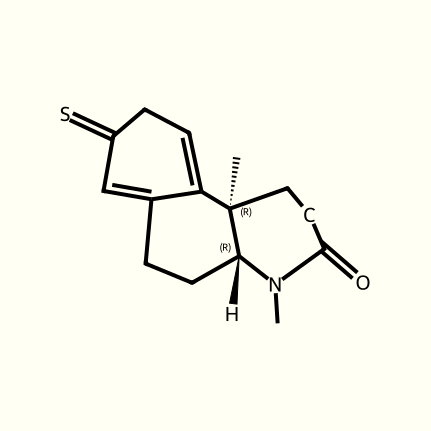 CN1C(=O)CC[C@]2(C)C3=CCC(=S)C=C3CC[C@@H]12